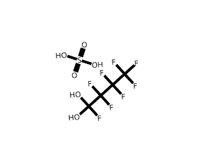 O=S(=O)(O)O.OC(O)(F)C(F)(F)C(F)(F)C(F)(F)F